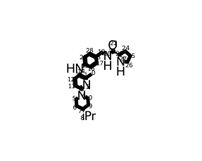 Cc1nc(N2CCC(C(C)C)CC2)ccc1Nc1ccc(CNC(=O)[C@H]2CCCN2)cc1